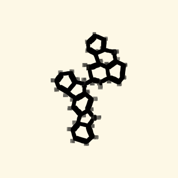 c1ccc2c(c1)Oc1cccc3nc(-n4c5ccccc5c5cc6c(cc54)oc4ccccc46)nc-2c13